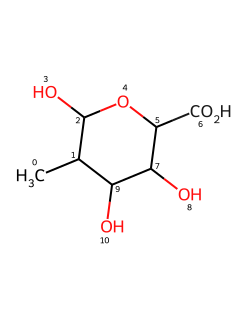 CC1C(O)OC(C(=O)O)C(O)C1O